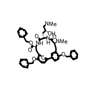 CNC[C@H](O)C[C@@H]1NC(=O)[C@@H](NC)Cc2cc(ccc2OCc2ccccc2)-c2ccc(OCc3ccccc3)c(c2)C[C@@H](C(=O)OCc2ccccc2)NC1=O